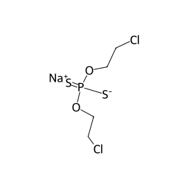 S=P([S-])(OCCCl)OCCCl.[Na+]